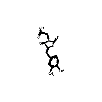 Cc1cc(/C=C2\SC(=S)N(CC(=O)O)C2=O)ccc1O